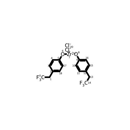 FC(F)(F)Cc1ccc([O][Zr+2][O]c2ccc(CC(F)(F)F)cc2)cc1.[Cl-].[Cl-]